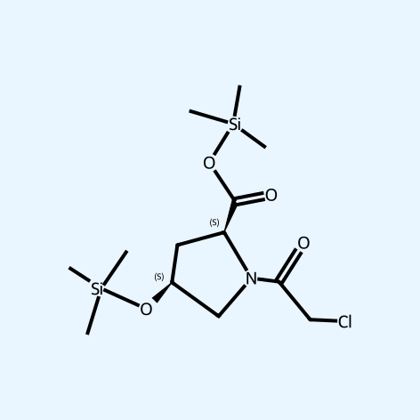 C[Si](C)(C)OC(=O)[C@@H]1C[C@H](O[Si](C)(C)C)CN1C(=O)CCl